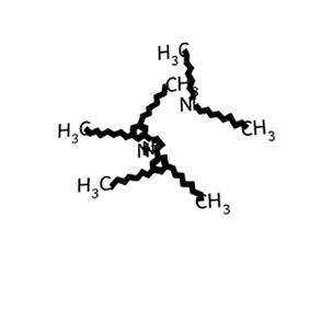 CCCCCCCC[CH2][Ni][CH2]CCCCCCCC.CCCCCCCCc1cc(CCCCCCCC)cc(C2=CC=C(c3cc(CCCCCCCC)cc(CCCCCCCC)c3)[N+]2=[N-])c1